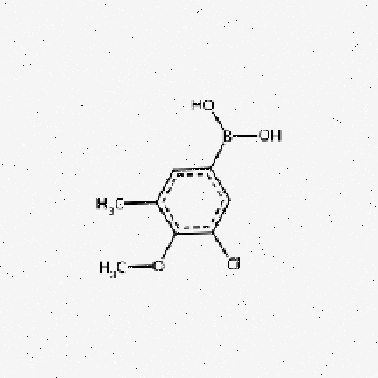 COc1c(C)cc(B(O)O)cc1Cl